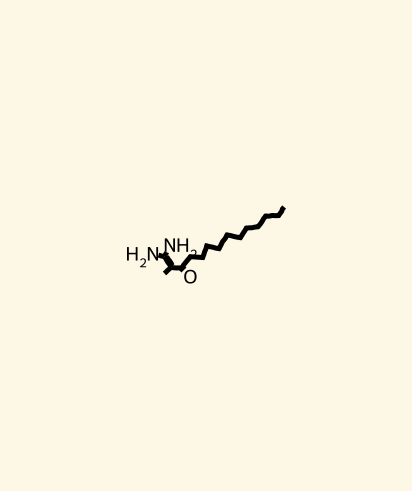 CCCCCCCCCCCC(=O)C(C)=C(N)N